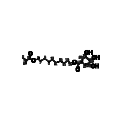 C=C(C)C(=O)OCCCCCCCCCCOC(=O)c1cc(O)c(O)c(O)c1